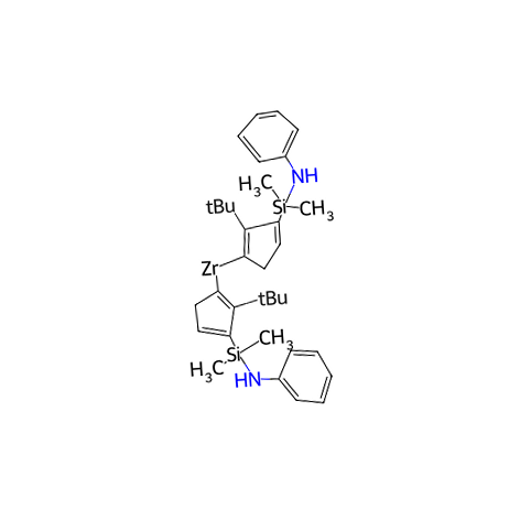 CC(C)(C)C1=[C]([Zr][C]2=C(C(C)(C)C)C([Si](C)(C)Nc3ccccc3)=CC2)CC=C1[Si](C)(C)Nc1ccccc1